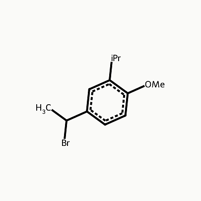 COc1ccc(C(C)Br)cc1C(C)C